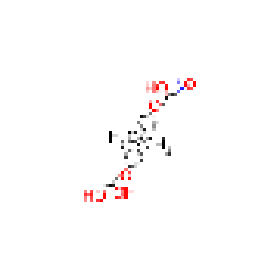 CC(C)(c1ccc(OCC(O)CO)cc1)c1ccc(OCC(O)CN=O)cc1